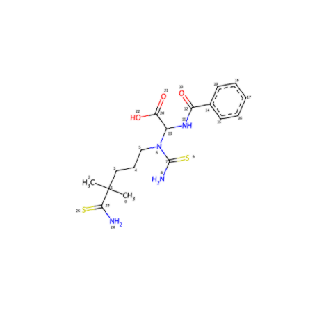 CC(C)(CCCN(C(N)=S)C(NC(=O)c1ccccc1)C(=O)O)C(N)=S